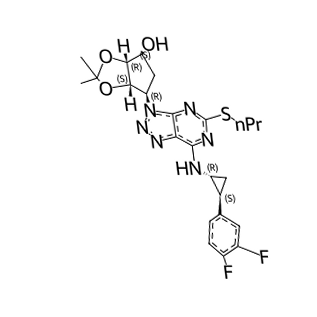 CCCSc1nc(N[C@@H]2C[C@H]2c2ccc(F)c(F)c2)c2nnn([C@@H]3C[C@H](O)[C@H]4OC(C)(C)O[C@H]43)c2n1